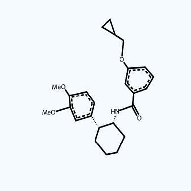 COc1ccc([C@H]2CCCC[C@H]2NC(=O)c2cccc(OCC3CC3)c2)cc1OC